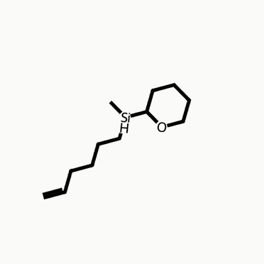 C=CCCCC[SiH](C)C1CCCCO1